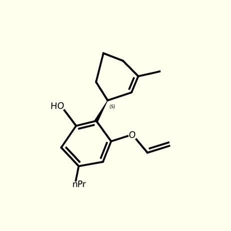 C=COc1cc(CCC)cc(O)c1[C@@H]1C=C(C)CCC1